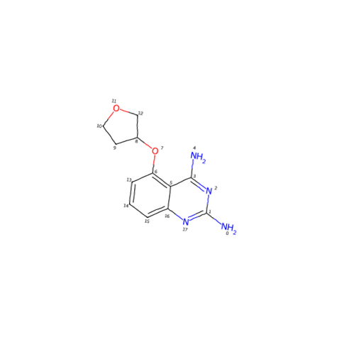 Nc1nc(N)c2c(OC3CCOC3)cccc2n1